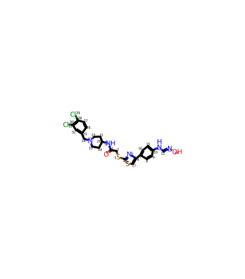 O=C(CSc1nc(-c2ccc(NC=NO)cc2)cs1)NC1CCN(Cc2ccc(Cl)c(Cl)c2)CC1